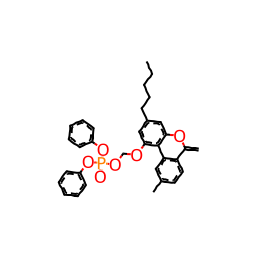 C=C1Oc2cc(CCCCC)cc(OCOP(=O)(Oc3ccccc3)Oc3ccccc3)c2-c2cc(C)ccc21